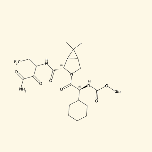 CC(C)(C)OC(=O)N[C@H](C(=O)N1CC2C([C@H]1C(=O)NC(CC(F)(F)F)C(=O)C(N)=O)C2(C)C)C1CCCCC1